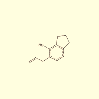 C=CCc1ccc2c(c1O)CCC2